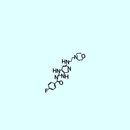 O=C(/N=c1\[nH]c2cnc(NCCN3CCOCC3)cc2[nH]1)c1ccc(F)cc1